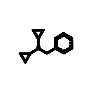 c1ccc(CN(C2CC2)C2CC2)cc1